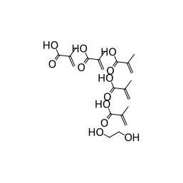 C=C(C)C(=O)O.C=C(C)C(=O)O.C=C(C)C(=O)O.C=C(C)C(=O)O.C=C(C)C(=O)O.OCCO